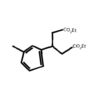 CCOC(=O)CC(CC(=O)OCC)c1cccc(C)c1